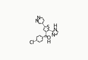 O[C@@H](c1ccc(Cl)cc1)c1cc(-c2ccnnc2)sc1-c1ncc[nH]1